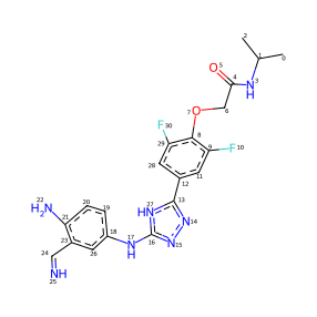 CC(C)NC(=O)COc1c(F)cc(-c2nnc(Nc3ccc(N)c(C=N)c3)[nH]2)cc1F